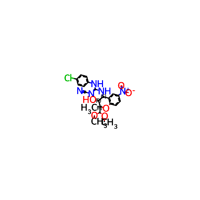 COC(OC)[C@]1(C)Oc2ccc([N+](=O)[O-])cc2[C@H](NC(=NC#N)Nc2ccc(Cl)cc2)[C@H]1O